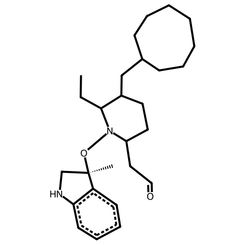 CCC1C(CC2CCCCCCC2)CCC(CC=O)N1O[C@]1(C)CNc2ccccc21